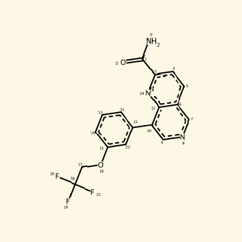 NC(=O)c1ccc2cncc(-c3cccc(OCC(F)(F)F)c3)c2n1